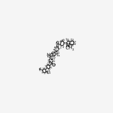 Cn1c(-c2ccc(C(=O)N3CCN(C(=O)C4(C5CC5(O)C(=O)N5CCN(C(=O)c6ccc(-c7cc(F)ccc7Cl)cc6)CC5)CC4)CC3)cc2)cc2ccccc21